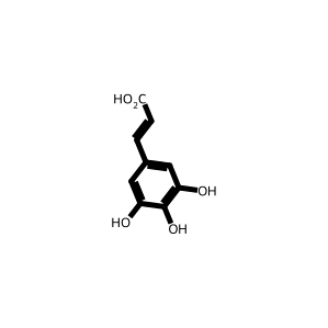 O=C(O)C=Cc1cc(O)c(O)c(O)c1